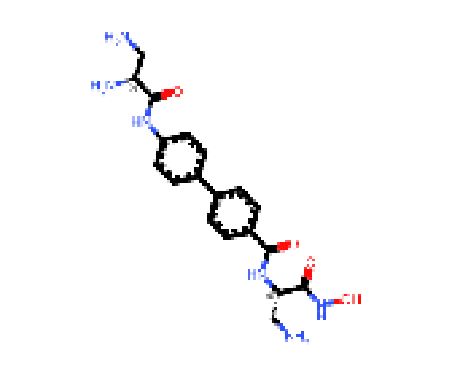 NC[C@H](NC(=O)c1ccc(-c2ccc(NC(=O)[C@@H](N)CN)cc2)cc1)C(=O)NO